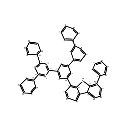 c1ccc(-c2cccc(-c3cc(-c4nc(-c5ccccc5)nc(-c5ccccc5)n4)cc(-c4cccc5c4sc4c(-c6ccccc6)cccc45)c3)c2)cc1